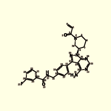 C=CC(=O)N1CCC[C@@H](n2nc(-c3ccc(CNC(=O)c4cccc(F)c4)cc3)c3c(N)ncnc32)C1